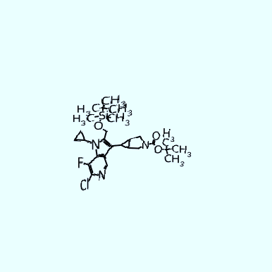 CC(C)(C)OC(=O)N1CC2C(C1)C2c1c(CO[Si](C)(C)C(C)(C)C)n(C2CC2)c2c(F)c(Cl)ncc12